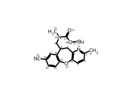 Cc1ccc2c(n1)CC(CN(C)C(=O)OC(C)(C)C)c1cc(C#N)ccc1O2